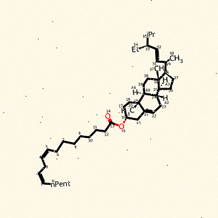 CCCCC/C=C\C/C=C\CCCCCCCC(=O)O[C@H]1CC[C@@]2(C)C(=CC[C@H]3[C@@H]4CC[C@H]([C@H](C)/C=C/[C@@H](CC)C(C)C)[C@@]4(C)CC[C@@H]32)C1